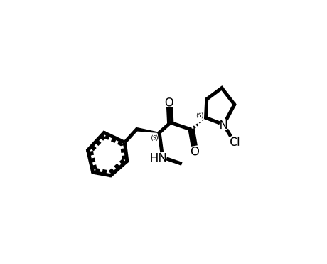 CN[C@@H](Cc1ccccc1)C(=O)C(=O)[C@@H]1CCCN1Cl